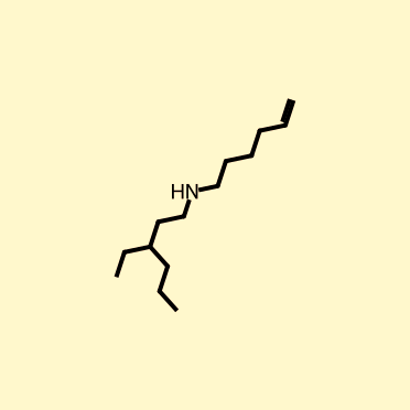 C=CCCCCNCCC(CC)CCC